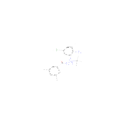 Cc1cc(C)cc(C(=O)NN(c2cc(Cl)cc(C)c2N)C(C)(C)C)c1